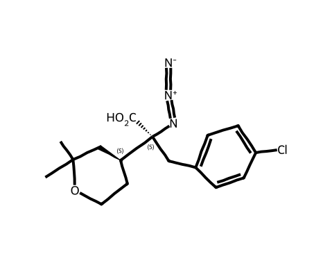 CC1(C)C[C@@H]([C@](Cc2ccc(Cl)cc2)(N=[N+]=[N-])C(=O)O)CCO1